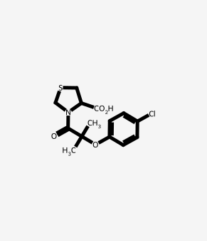 CC(C)(Oc1ccc(Cl)cc1)C(=O)N1CSCC1C(=O)O